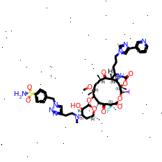 CO[C@]1(C)C[C@@H](C)C(=O)[C@@H]2C(CCCn3cnc(-c4cccnc4)c3)N3C(=O)O[C@](C)([C@@H](I)OC(=O)[C@@](C)(F)C(=O)[C@H](C)[C@H]1O[C@@H]1O[C@H](C)C[C@H](N(C)CCc4cn(Cc5ccc(S(N)(=O)=O)cc5)nn4)[C@H]1O)[C@@H]23